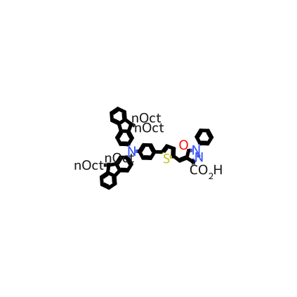 CCCCCCCCC1(CCCCCCCC)c2ccccc2-c2ccc(N(c3ccc(-c4ccc(/C=C5\C(=O)N(c6ccccc6)N=C5C(=O)O)s4)cc3)c3ccc4c(c3)C(CCCCCCCC)(CCCCCCCC)c3ccccc3-4)cc21